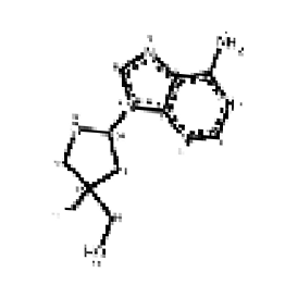 Nc1ncnc2c1ncn2C1CC(F)(CO)CO1